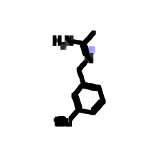 C/C(N)=N/Cc1cccc(C(C)(C)C)c1